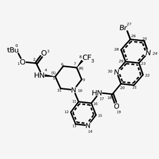 CC(C)(C)OC(=O)N[C@H]1C[C@@H](C(F)(F)F)CN(c2ccncc2NC(=O)c2ccc3ncc(Br)cc3n2)C1